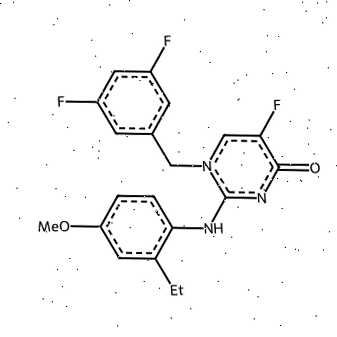 CCc1cc(OC)ccc1Nc1nc(=O)c(F)cn1Cc1cc(F)cc(F)c1